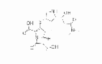 C[C@@H](O)[C@H]1C(=O)N2C(C(=O)O)=C(S[C@@H]3CN[C@H](C(O)CC(=O)N(C)C)C3)[C@H](C)[C@H]12